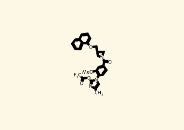 COc1cc(C(=O)N2CC(COc3cccc4ccccc34)C2)ccc1-n1cc(C)nc1OC(=O)C(F)(F)F